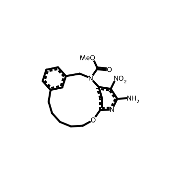 COC(=O)N1Cc2cccc(c2)CCCCCOc2cc1c([N+](=O)[O-])c(N)n2